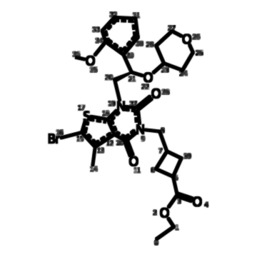 CCOC(=O)C1CC(Cn2c(=O)c3c(C)c(Br)sc3n(C[C@H](OC3CCOCC3)c3ccccc3OC)c2=O)C1